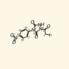 O=C(CI)n1[nH]c(=O)n(-c2ccc([N+](=O)[O-])cc2)c1=O